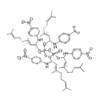 CC(C)=CCC/C(C)=C/C(Nc1ccc([N+](=O)[O-])cc1)OP(=O)(OC(/C=C(\C)CCC=C(C)C)Nc1ccc([N+](=O)[O-])cc1)OP(=O)(OC(/C=C(\C)CCC=C(C)C)Nc1ccc([N+](=O)[O-])cc1)OC(/C=C(\C)CCC=C(C)C)Nc1ccc([N+](=O)[O-])cc1